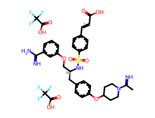 CC(=N)N1CCC(Oc2ccc(C[C@@H](COc3cccc(C(=N)N)c3)NS(=O)(=O)c3ccc(/C=C/C(=O)O)cc3)cc2)CC1.O=C(O)C(F)(F)F.O=C(O)C(F)(F)F